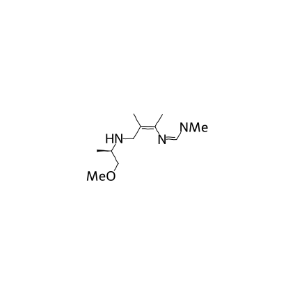 CN/C=N\C(C)=C(\C)CN[C@H](C)COC